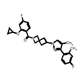 Cc1cc(F)ccc1-c1nn(C2CC3(C2)CN(C(=O)c2ccc(F)cc2OC2CC2)C3)cc1C